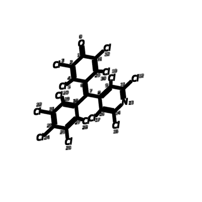 O=C1C(Cl)=C(Cl)C(=C(c2c(Cl)c(Cl)nc(Cl)c2Cl)c2c(Cl)c(Cl)c(Cl)c(Cl)c2Cl)C(Cl)=C1Cl